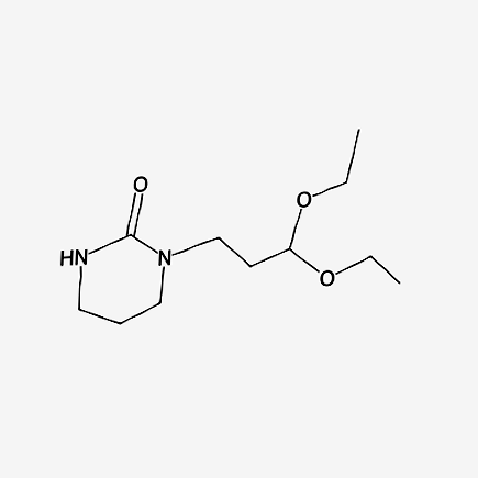 CCOC(CCN1CCCNC1=O)OCC